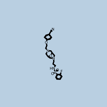 N#Cc1ccc(OCCN2CC3CN(CCCNS(=O)(=O)c4ccccc4F)CC(C2)O3)cc1